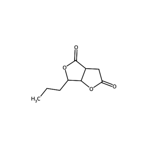 CCCC1OC(=O)C2CC(=O)OC12